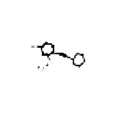 CCc1ccc(C#CC2CCCCC2)c(SC(F)(F)F)c1